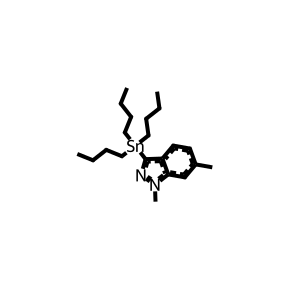 CCC[CH2][Sn]([CH2]CCC)([CH2]CCC)[c]1nn(C)c2cc(C)ccc12